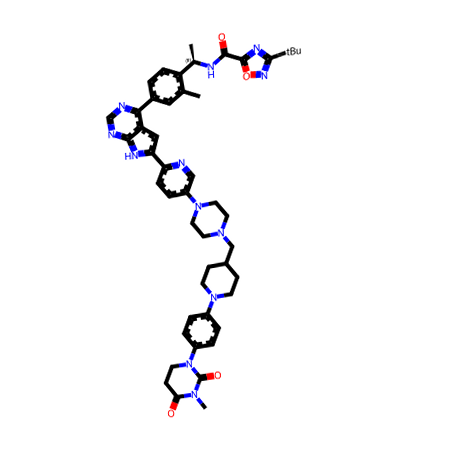 Cc1cc(-c2ncnc3[nH]c(-c4ccc(N5CCN(CC6CCN(c7ccc(N8CCC(=O)N(C)C8=O)cc7)CC6)CC5)cn4)cc23)ccc1[C@@H](C)NC(=O)c1nc(C(C)(C)C)no1